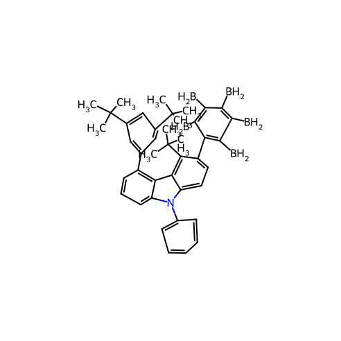 Bc1c(B)c(B)c(-c2ccc3c(c2C(C)(C)C)c2c(-c4cc(C(C)(C)C)cc(C(C)(C)C)c4)cccc2n3-c2ccccc2)c(B)c1B